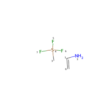 C=CN.CS(F)(F)F